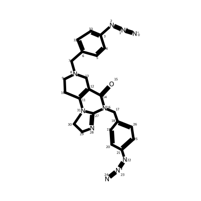 [N-]=[N+]=Nc1ccc(CN2CCC3=C(C2)C(=O)N(Cc2ccc(N=[N+]=[N-])cc2)C2=NCCN23)cc1